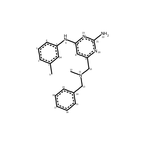 Cc1cccc(Nc2cc(CN(C)Cc3ccccc3)nc(N)n2)c1